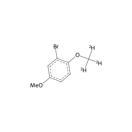 [2H]C([2H])([2H])Oc1ccc(OC)cc1Br